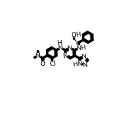 CN(C)C(=O)c1ccc(Nc2ncc(-c3ncn[nH]3)c(N[C@H](CO)c3ccccc3)n2)cc1Cl